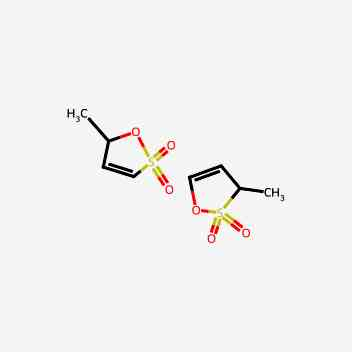 CC1C=COS1(=O)=O.CC1C=CS(=O)(=O)O1